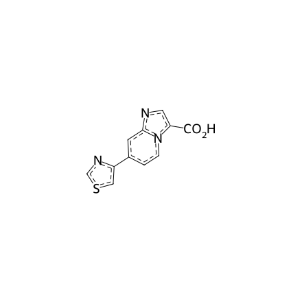 O=C(O)c1cnc2cc(-c3cscn3)ccn12